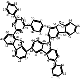 c1ccc(-c2ccc3c(c2)c2cc(-c4cccc5c4sc4c(-c6nc(-c7ccccc7)nc(-c7ccccc7)n6)cccc45)ccc2n3-c2ccc3sc4ccccc4c3c2)cc1